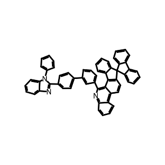 c1ccc(-n2c(-c3ccc(-c4cccc(-c5nc6ccccc6c6ccc7c(c56)-c5ccccc5C75c6ccccc6-c6ccccc65)c4)cc3)nc3ccccc32)cc1